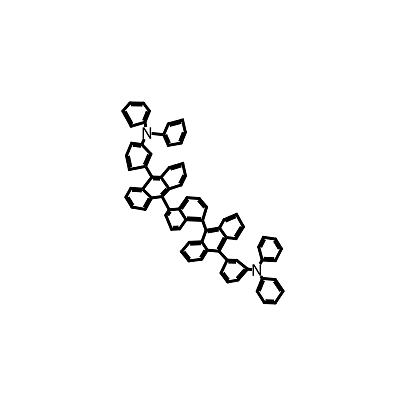 c1ccc(N(c2ccccc2)c2cccc(-c3c4ccccc4c(-c4cccc5c(-c6c7ccccc7c(-c7cccc(N(c8ccccc8)c8ccccc8)c7)c7ccccc67)cccc45)c4ccccc34)c2)cc1